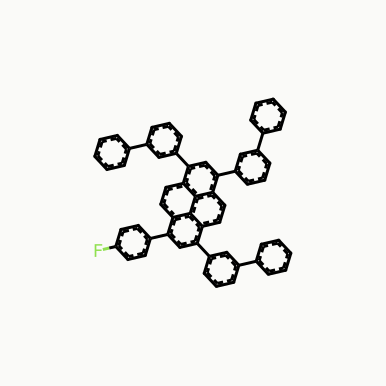 Fc1ccc(-c2cc(-c3cccc(-c4ccccc4)c3)c3ccc4c(-c5cccc(-c6ccccc6)c5)cc(-c5cccc(-c6ccccc6)c5)c5ccc2c3c54)cc1